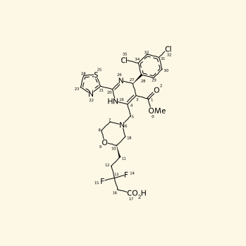 COC(=O)C1=C(CN2CCO[C@H](CCC(F)(F)CC(=O)O)C2)NC(c2nccs2)=N[C@H]1c1ccc(Cl)cc1Cl